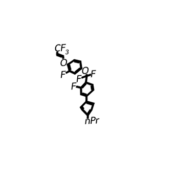 CCCc1ccc(-c2ccc(C(F)(F)Oc3ccc(O/C=C/C(F)(F)F)c(F)c3)c(F)c2)cc1